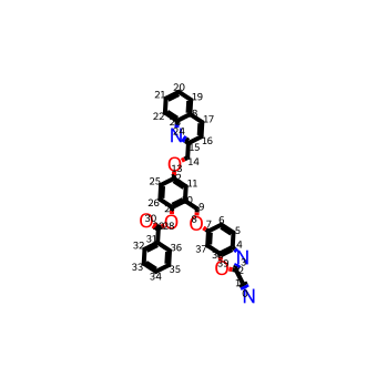 N#Cc1nc2ccc(OCc3cc(OCc4ccc5ccccc5n4)ccc3OC(=O)c3ccccc3)cc2o1